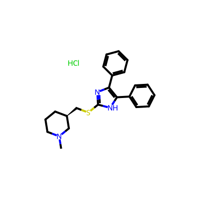 CN1CCC[C@@H](CSc2nc(-c3ccccc3)c(-c3ccccc3)[nH]2)C1.Cl